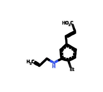 C=CCNc1cc(C=CC(=O)O)ccc1CC